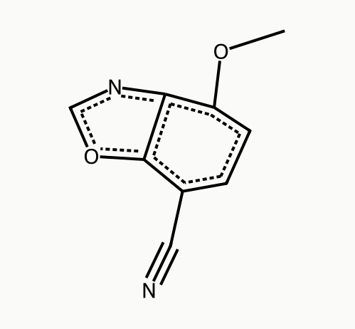 COc1ccc(C#N)c2ocnc12